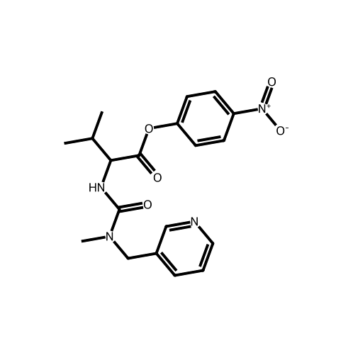 CC(C)C(NC(=O)N(C)Cc1cccnc1)C(=O)Oc1ccc([N+](=O)[O-])cc1